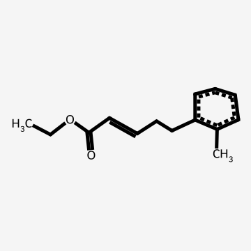 CCOC(=O)/C=C/CCc1ccccc1C